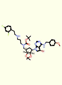 COc1ccc(CNc2ncnc3c2c(Br)cn3[C@@H]2C[C@H](CN(CCCNCCc3ccc(F)cc3F)C(=O)OC(C)(C)C)[C@H]3OC(C)(C)O[C@H]32)cc1